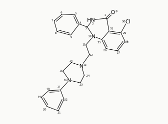 O=C1NC(c2ccccc2)N(CCN2CCN(c3ccccc3)CC2)c2cccc(Cl)c21